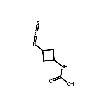 O=C(O)NC1CC(N=C=S)C1